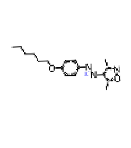 CCCCCCOc1ccc(/N=N/c2c(C)noc2C)cc1